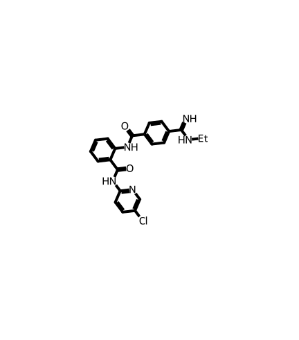 CCNC(=N)c1ccc(C(=O)Nc2ccccc2C(=O)Nc2ccc(Cl)cn2)cc1